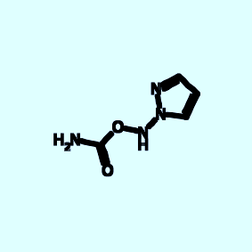 NC(=O)ONn1cccn1